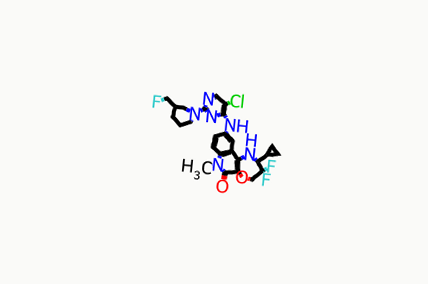 Cn1c(=O)c2c(c3cc(Nc4nc(N5CCCC(CF)C5)ncc4Cl)ccc31)NC(C1CC1)C(F)(F)CO2